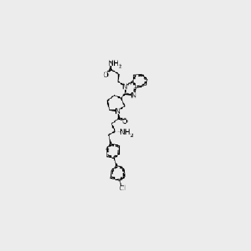 NC(=O)CCn1c([C@@H]2CCCN(C(=O)C[C@H](N)Cc3ccc(-c4ccc(Cl)cc4)cc3)C2)nc2ccccc21